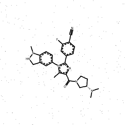 Cc1c(C(=O)N2CC[C@H](N(C)C)C2)nc(-c2ccc(C#N)c(F)c2)n1-c1ccc2c(c1)CNN2C